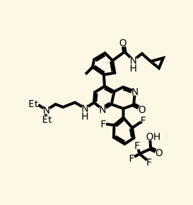 CCN(CC)CCCNc1cc(-c2cc(C(=O)NCC3CC3)ccc2C)c2c(n1)C(c1c(F)cccc1F)C(=O)N=C2.O=C(O)C(F)(F)F